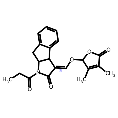 CCC(=O)N1C(=O)/C(=C/OC2OC(=O)C(C)=C2C)C2c3ccccc3CC21